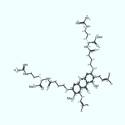 COC(=O)[C@H](CCCNC(=N)N)NC(=O)CCCOc1cc2oc3cc(OCCCC(=O)N[C@H](CCCNC(=N)N)C(=O)OC)c(CC=C(C)C)c(O)c3c(=O)c2c(CC=C(C)C)c1OC